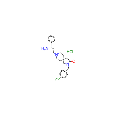 Cl.N[C@@H](CCN1CCC2(CC1)CC(=O)N(Cc1ccc(Cl)cc1)C2)c1ccccc1